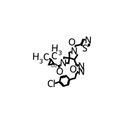 CC1(C)C[C@@H]1C(=O)N1CC2(CN(C(=O)c3cncs3)CC2c2nnc(Cc3ccc(Cl)cc3)o2)C1